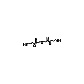 O=C(CCCS)NCCOCCNC(=O)CCCS